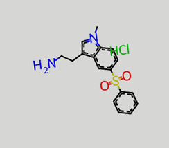 Cl.Cn1cc(CCN)c2cc(S(=O)(=O)c3ccccc3)ccc21